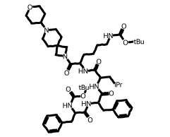 CC(C)CC(NC(=O)C(Cc1ccccc1)NC(=O)C(Cc1ccccc1)NC(=O)OC(C)(C)C)C(=O)NC(CCCCNC(=O)OC(C)(C)C)C(=O)N1CC2(CCN(C3CCOCC3)CC2)C1